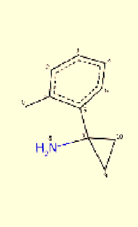 Cc1ccccc1C1(N)CC1